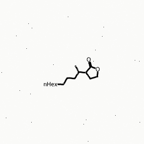 CCCCCCCCCC(C)C1CCOC1=O